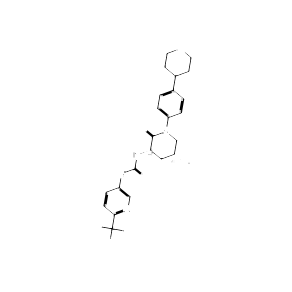 O=C(Nc1ccc(C(F)(F)F)nc1)N[C@@H]1C[C@@H](O)CN(c2ccc(C3CCOCC3)cc2)C1=O